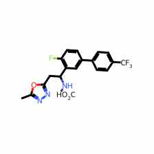 Cc1nnc(CC(NC(=O)O)c2cc(-c3ccc(C(F)(F)F)cc3)ccc2F)o1